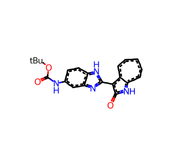 CC(C)(C)OC(=O)Nc1ccc2[nH]c(-c3c4cccccc-4[nH]c3=O)nc2c1